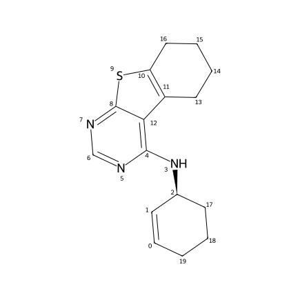 C1=C[C@@H](Nc2ncnc3sc4c(c23)CCCC4)CCC1